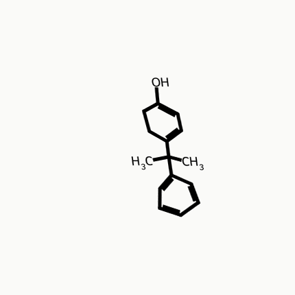 CC(C)(C1=CC=C(O)CC1)c1ccccc1